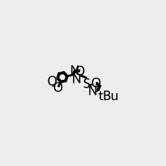 CC(C)(C)c1coc(SCc2nc(-c3ccc4c(c3)OCO4)no2)n1